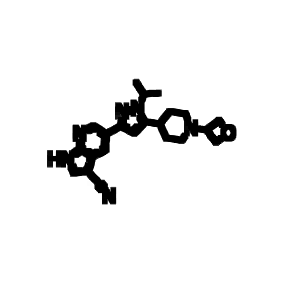 CC(C)n1nc(-c2cnc3[nH]cc(C#N)c3c2)cc1C1CCN(C2COC2)CC1